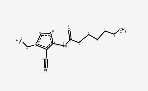 CCCCCCC(=O)Nc1ncn(CC)c1C#N